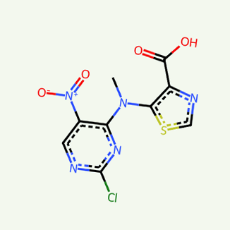 CN(c1nc(Cl)ncc1[N+](=O)[O-])c1scnc1C(=O)O